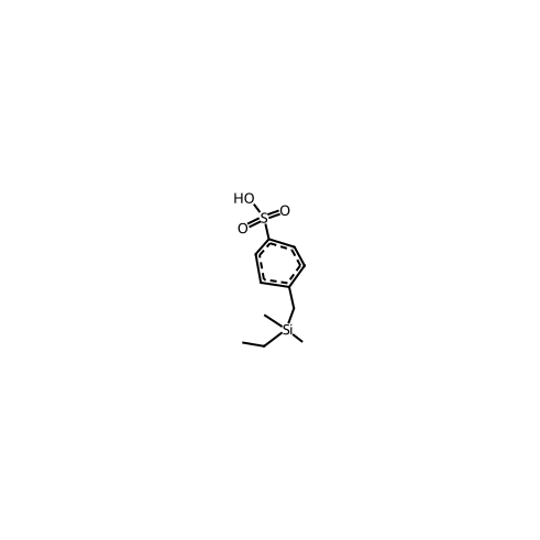 CC[Si](C)(C)Cc1ccc(S(=O)(=O)O)cc1